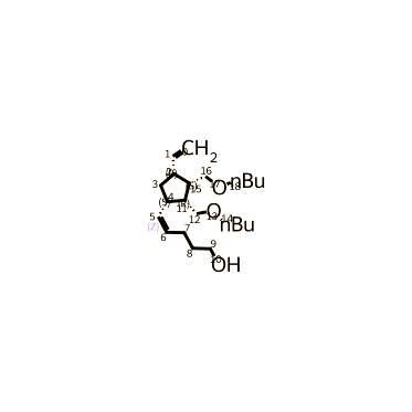 C=C[C@H]1C[C@@H](/C=C\CCCO)[C@@H](COCCCC)[C@H]1COCCCC